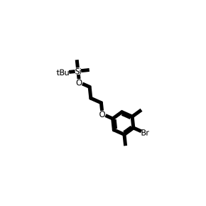 Cc1cc(OCCCO[Si](C)(C)C(C)(C)C)cc(C)c1Br